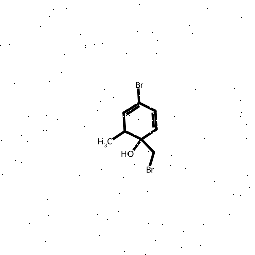 CC1C=C(Br)C=CC1(O)CBr